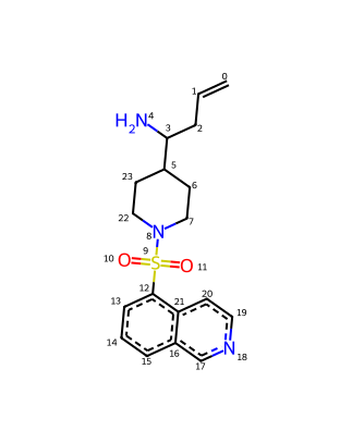 C=CCC(N)C1CCN(S(=O)(=O)c2cccc3cnccc23)CC1